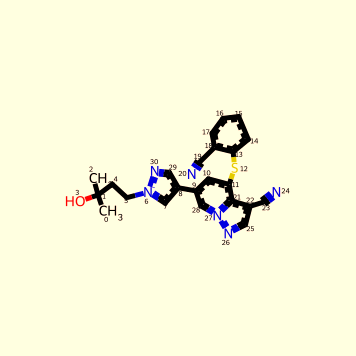 CC(C)(O)CCn1cc(-c2cc(Sc3ccccc3C#N)c3c(C#N)cnn3c2)cn1